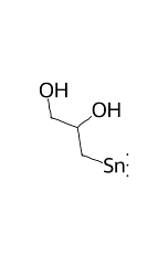 OCC(O)[CH2][Sn]